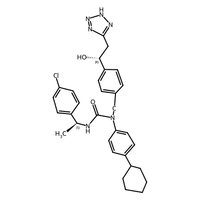 C[C@H](NC(=O)N(Cc1ccc([C@H](O)Cc2nn[nH]n2)cc1)c1ccc(C2CCCCC2)cc1)c1ccc(Cl)cc1